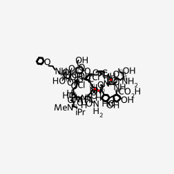 CN[C@H](CC(C)C)C(=O)N[C@H]1C(=O)N[C@@H](CC(N)=O)C(=O)N[C@H]2C(=O)N[C@H]3C(=O)N[C@H](C(=O)N[C@@H](C(=O)O)c4cc(O)cc(O)c4-c4cc3ccc4O)[C@H](OC3C[C@](C)(N)[C@@H](O)[C@H](C)O3)c3ccc(c(Cl)c3)Oc3cc2cc(c3O[C@@H]2O[C@H](CO)[C@@H](O[C@@H]3O[C@H](CNCCCOc4ccccc4)[C@H](O)[C@H](O)[C@H]3O)[C@H](O)[C@H]2O)Oc2ccc(cc2Cl)[C@H]1O